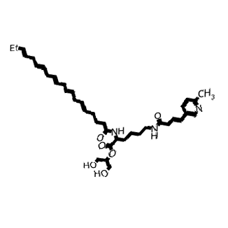 CCC=CCC=CCC=CCC=CCC=CCCCC(=O)NC(CCCCNC(=O)CC=Cc1ccc(C)nc1)C(=O)OC(CO)CO